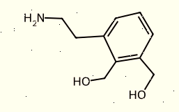 NCCc1cccc(CO)c1CO